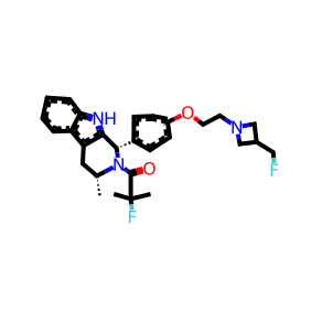 C[C@@H]1Cc2c([nH]c3ccccc23)[C@H](c2ccc(OCCN3CC(CF)C3)cc2)N1C(=O)C(C)(C)F